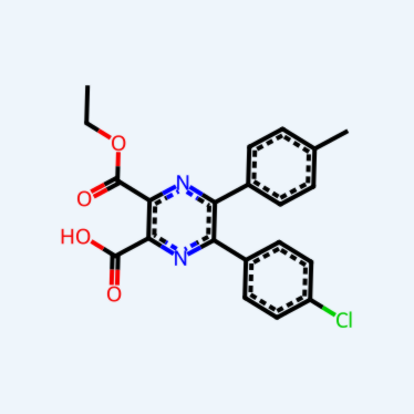 CCOC(=O)c1nc(-c2ccc(C)cc2)c(-c2ccc(Cl)cc2)nc1C(=O)O